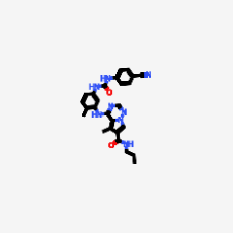 CCCNC(=O)c1cn2ncnc(Nc3cc(NC(=O)Nc4ccc(C#N)cc4)ccc3C)c2c1C